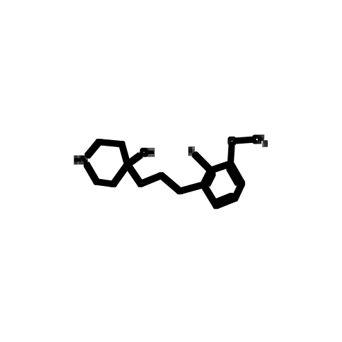 OC1(CCCc2cccc(OC(F)(F)F)c2F)CCNCC1